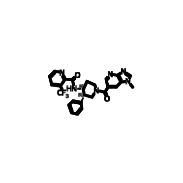 Cn1cnc2ncc(C(=O)N3CC[C@@H](NC(=O)c4ncccc4C(F)(F)F)[C@@H](c4ccccc4)C3)cc21